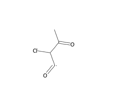 CC(=O)C(Cl)[C]=O